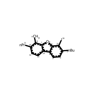 CCCCc1ccc2c(oc3c(C)c(CCC)ccc32)c1I